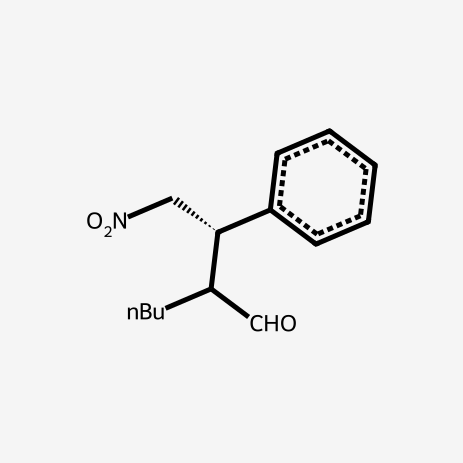 CCCCC(C=O)[C@H](C[N+](=O)[O-])c1ccccc1